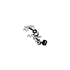 CN1C(=O)[C@@H](NC(=O)c2cn3c(C45CC6CC(CC(C6)C4)C5)csc3n2)COc2ccc(C#CC(C)(C)O)cc21